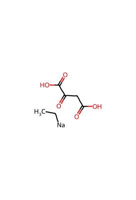 C[CH2][Na].O=C(O)CC(=O)C(=O)O